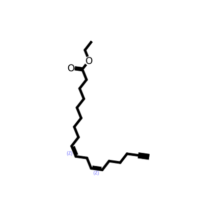 C#CCCC/C=C\C/C=C\CCCCCCCC(=O)OCC